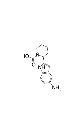 Nc1ccc2[nH]c(C3CCCCN3C(=O)O)cc2c1